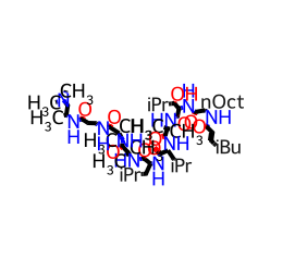 CCCCCCCCC(NC(=O)/C=C/C(C)CC)C(=O)NC(C(=O)NC(C)(C)C(=O)NC(CC(C)C)C(=O)NC(CC(C)C)C(=O)NC(C)(C)C(=O)NC(C)(C)C(=O)NCCC(=O)NC(C)CN(C)C)C(O)C(C)C